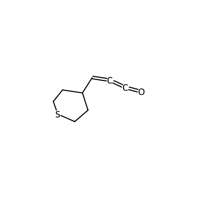 O=C=C=CC1CCSCC1